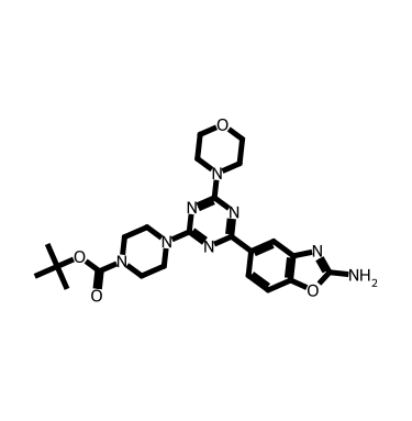 CC(C)(C)OC(=O)N1CCN(c2nc(-c3ccc4oc(N)nc4c3)nc(N3CCOCC3)n2)CC1